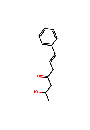 CC(O)CC(=O)CC=Cc1ccccc1